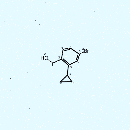 OCc1ccc(Br)cc1C1CC1